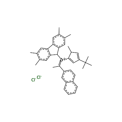 C/[C](c1ccc2ccccc2c1)=[Zr+2](/[C]1=CC(C(C)(C)C)=CC1C)[CH]1c2cc(C)c(C)cc2-c2cc(C)c(C)cc21.[Cl-].[Cl-]